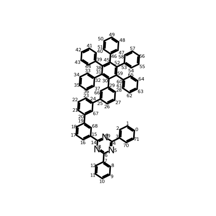 c1ccc(-c2nc(-c3ccccc3)nc(-c3cccc(-c4cccc(-c5cccc(-c6c(-c7ccccc7)c(-c7ccccc7)c(-c7ccccc7)c(-c7ccccc7)c6-c6ccccc6)c5)c4)c3)n2)cc1